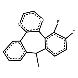 Fc1ccc2c(c1F)-c1nccnc1-c1ccccc1C2I